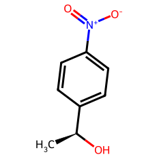 C[C@H](O)c1ccc([N+](=O)[O-])cc1